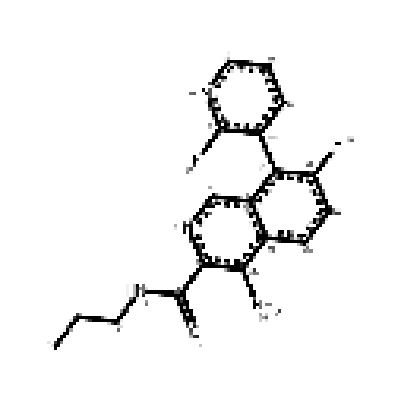 CCCNC(=O)c1ncc2c(-c3cccnc3F)c(F)ccc2c1N